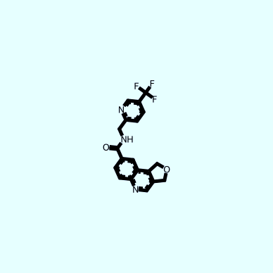 O=C(NCc1ccc(C(F)(F)F)cn1)c1ccc2ncc3c(c2c1)COC3